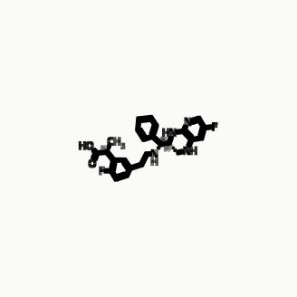 C[C@H](C(=O)O)c1cc(CCN[C@H](c2ccccc2)[C@H]2CNc3cc(F)cnc3N2)ccc1F